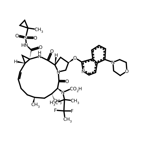 C[C@H]1CC/C=C\[C@@H]2C[C@@]2(C(=O)NS(=O)(=O)C2(C)CC2)NC(=O)[C@@H]2C[C@@H](Oc3nccc4c(N5CCOCC5)cccc34)CN2C(=O)[C@@H](N(C(=O)O)C(C)(C)C(C)(F)F)[C@H](C)C1